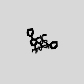 CCN(Cc1c(-c2ccccc2)ccc(C(F)(F)F)c1CC(=O)O)C(=O)OCc1ccccc1